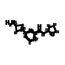 NC1CN(c2ccnc(NC[C@H]3CCCO3)n2)C1